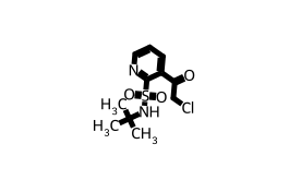 CC(C)(C)NS(=O)(=O)c1ncccc1C(=O)CCl